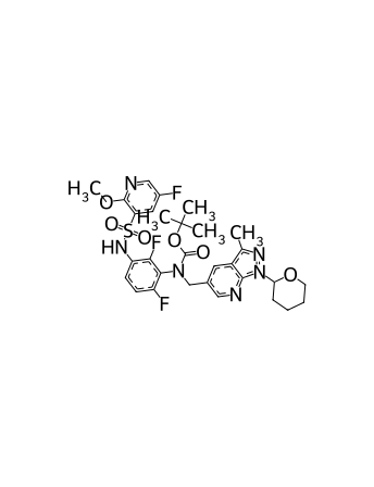 COc1ncc(F)cc1S(=O)(=O)Nc1ccc(F)c(N(Cc2cnc3c(c2)c(C)nn3C2CCCCO2)C(=O)OC(C)(C)C)c1F